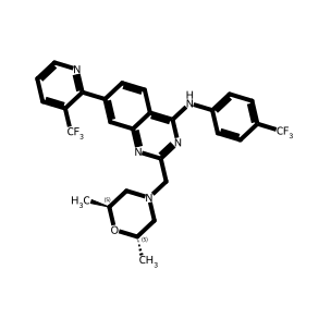 C[C@H]1CN(Cc2nc(Nc3ccc(C(F)(F)F)cc3)c3ccc(-c4ncccc4C(F)(F)F)cc3n2)C[C@H](C)O1